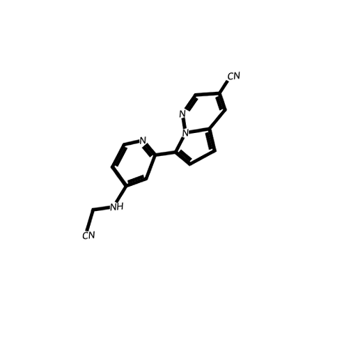 N#CCNc1ccnc(-c2ccc3cc(C#N)cnn23)c1